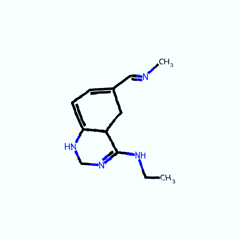 CCNC1=NCNC2=CC=C(C=NC)CC21